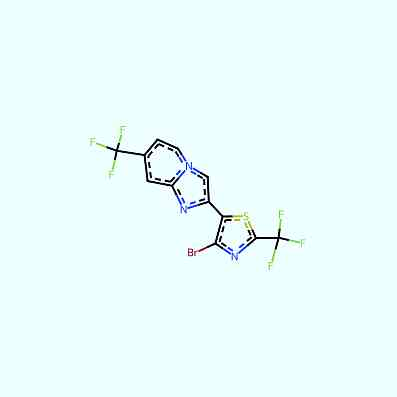 FC(F)(F)c1ccn2cc(-c3sc(C(F)(F)F)nc3Br)nc2c1